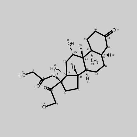 CCC(=O)O[C@]1(C(=O)CCl)CC[C@H]2[C@@H]3CC[C@@H]4CC(=O)CC[C@]4(C)[C@H]3[C@@H](O)C[C@@]21C